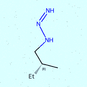 CC[C@@H](C)CNN=N